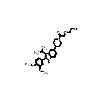 COc1ccc(-c2[nH]c3ccc(C4CCN(C(=O)CNCCO)CC4)cc3c2C(C)C)cc1OC